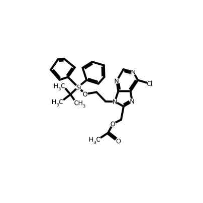 CC(=O)OCc1nc2c(Cl)ncnc2n1CCO[Si](c1ccccc1)(c1ccccc1)C(C)(C)C